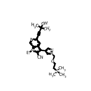 CCn1c(C#N)c(-c2cnn(COCCS(C)(C)C)c2)c2cc(C#CC(C)(C)O)ncc21